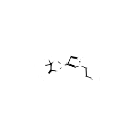 C=C1OB(c2cnn(CCO)c2)OC1(C)C